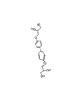 OCC(O)COc1ccc(-c2ccc(OCC(O)CO)cc2)cc1